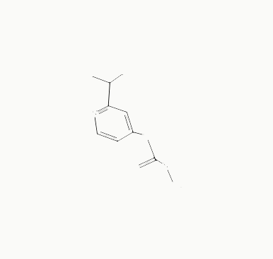 CC(C)(C)NC(=O)Oc1ccnc(C(F)F)c1